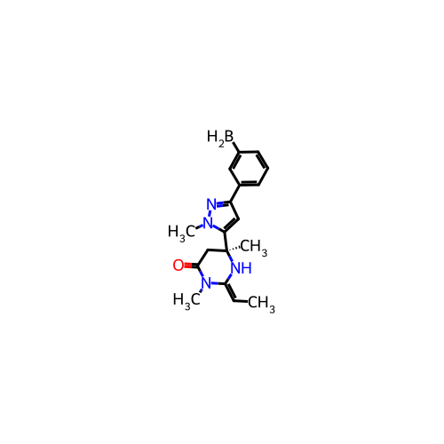 Bc1cccc(-c2cc([C@]3(C)CC(=O)N(C)C(=CC)N3)n(C)n2)c1